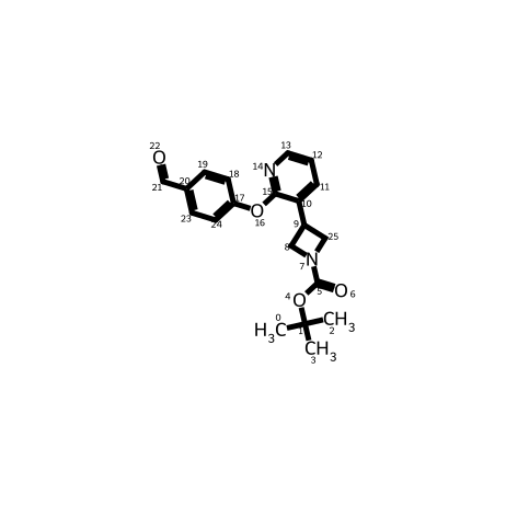 CC(C)(C)OC(=O)N1CC(c2cccnc2Oc2ccc(C=O)cc2)C1